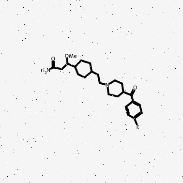 COC(CC(N)=O)C1CCC(CCN2CCC(C(=O)c3ccc(F)cc3)CC2)CC1